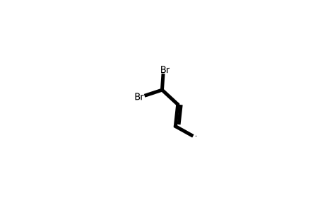 [CH2]C=CC(Br)Br